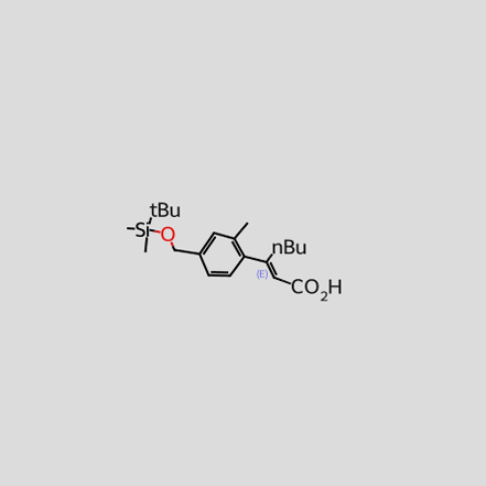 CCCC/C(=C\C(=O)O)c1ccc(CO[Si](C)(C)C(C)(C)C)cc1C